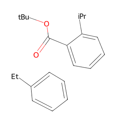 CC(C)c1ccccc1C(=O)OC(C)(C)C.CCc1ccccc1